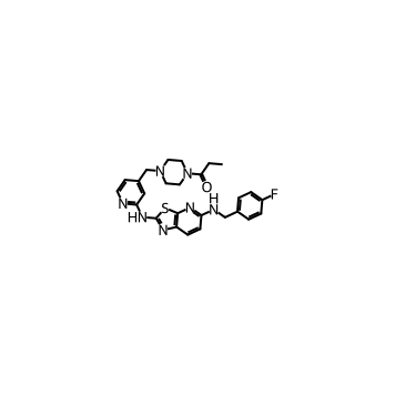 CCC(=O)N1CCN(Cc2ccnc(Nc3nc4ccc(NCc5ccc(F)cc5)nc4s3)c2)CC1